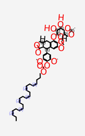 CC/C=C\C/C=C\C/C=C\C/C=C\C/C=C\C/C=C\CCCOC(=O)Oc1c(OC)cc([C@@H]2c3cc4c(c(O[C@@H]5O[C@@H]6CO[C@@H](C)OC6[C@H](O)[C@H]5O)c3C[C@H]3COC(=O)C32)OCO4)cc1OC